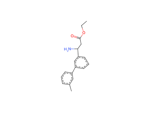 CCOC(=O)CC(N)c1cccc(-c2cccc(C)c2)c1